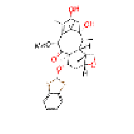 CO[C@H]1C(=O)[C@]2(C)[C@@H](OC3Sc4ccccc4S3)C[C@H]3OC[C@@]3(C)[C@H]2[C@H](C)[C@]2(O)C[C@H](O)C(C)=C1C2(C)C